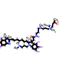 C=C(O)CC[N+](C)(CCCN(C)CCCNC(=O)CC1(C)/C(=C/C=C/C=C/C=C/C2=Nc3cc(I)c(I)c(I)c3C2(C)C)N(CCCN(CC)C(C)CC)c2cc(I)c(I)c(I)c21)OC